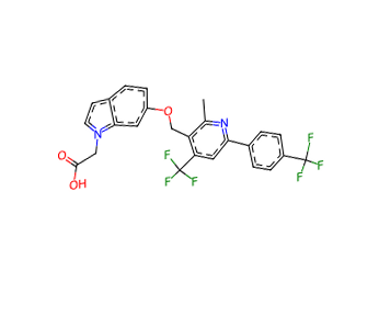 Cc1nc(-c2ccc(C(F)(F)F)cc2)cc(C(F)(F)F)c1COc1ccc2ccn(CC(=O)O)c2c1